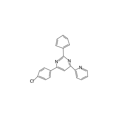 Clc1ccc(-c2cc(-c3ccccn3)nc(-c3ccccc3)n2)cc1